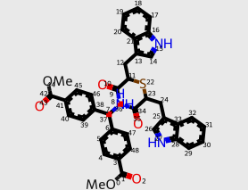 COC(=O)c1ccc(CNC(=O)C(Cc2c[nH]c3ccccc23)SC(Cc2c[nH]c3ccccc23)C(=O)NCc2ccc(C(=O)OC)cc2)cc1